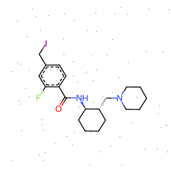 O=C(N[C@@H]1CCCC[C@H]1CN1CCCCC1)c1ccc(CI)cc1F